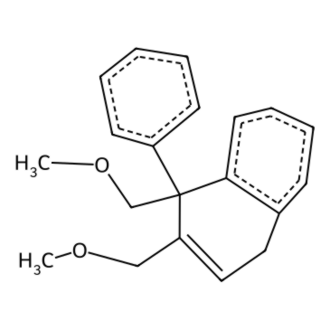 COCC1=CCc2ccccc2C1(COC)c1ccccc1